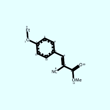 CCOc1ccc(/C=C(\C#N)C(=O)OC)cc1